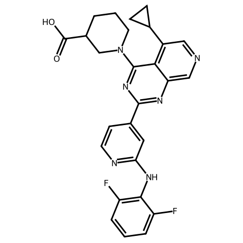 O=C(O)C1CCCN(c2nc(-c3ccnc(Nc4c(F)cccc4F)c3)nc3cncc(C4CC4)c23)C1